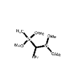 CCCC([Si](OC)OC)[Si](C)(OC)OC